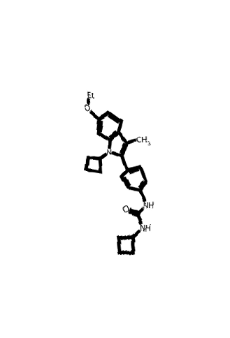 CCOc1ccc2c(C)c(-c3ccc(NC(=O)NC4CCC4)cc3)n(C3CCC3)c2c1